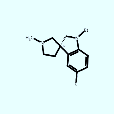 CCN1C[C@@]2(CCN(C)C2)c2cc(Cl)ccc21